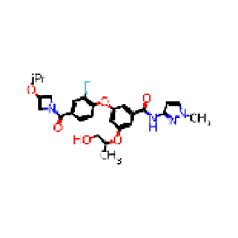 CC(C)OC1CN(C(=O)c2ccc(Oc3cc(O[C@@H](C)CO)cc(C(=O)Nc4ccn(C)n4)c3)c(F)c2)C1